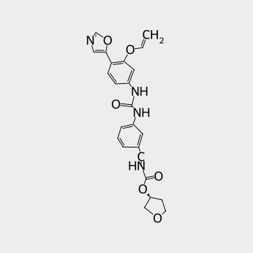 C=COc1cc(NC(=O)Nc2cccc(CNC(=O)O[C@H]3CCOC3)c2)ccc1-c1cnco1